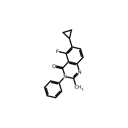 Cc1nc2ccc(C3CC3)c(F)c2c(=O)n1-c1ccccc1